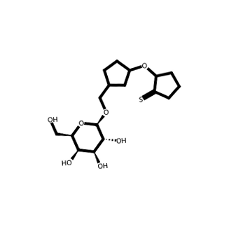 OC[C@H]1O[C@@H](OCC2CCC(OC3CCCC3=S)C2)[C@H](O)[C@@H](O)[C@H]1O